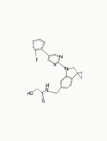 O=C(CO)NCc1ccc2c(c1)N(c1ncc(-c3ccccc3F)cn1)CC21CC1